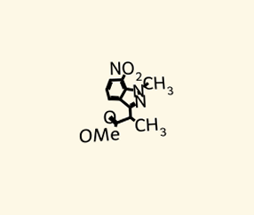 COC(=O)C(C)c1nn(C)c2c([N+](=O)[O-])cccc12